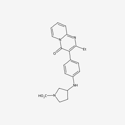 CCc1nc2ccccn2c(=O)c1-c1ccc(NC2CCN(C(=O)O)C2)cc1